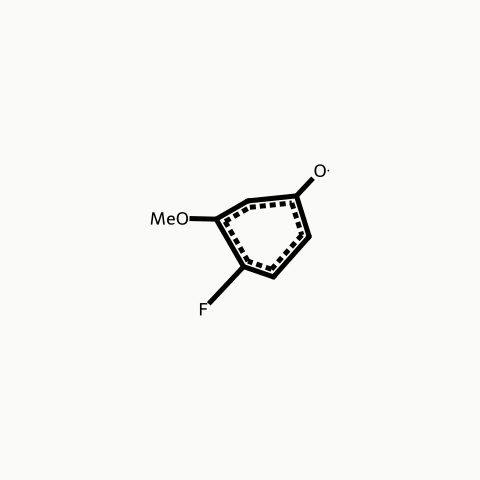 COc1cc([O])ccc1F